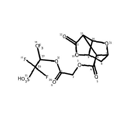 O=C(COC(=O)C1C2CC3OC(=O)C1C3O2)OC(C(F)(F)F)C(F)(F)S(=O)(=O)O